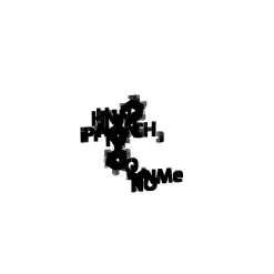 CNC[C@@H](COc1cccc(-c2cc(N(C)c3ccccn3)c(C=N)c(NC(C)C)n2)c1)N=O